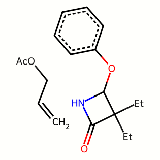 C=CCOC(C)=O.CCC1(CC)C(=O)NC1Oc1ccccc1